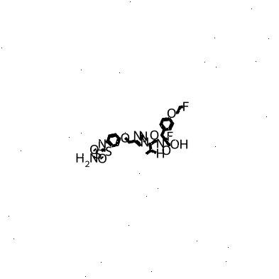 CC(C)C(C(=O)NC(F)(Cc1ccc(OCCF)cc1)C(=O)O)n1cc(COc2ccc3nc(S(N)(=O)=O)sc3c2)nn1